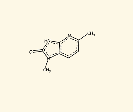 Cc1ccc2c(n1)[nH]c(=O)n2C